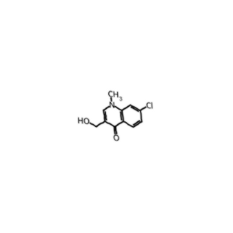 Cn1cc(CO)c(=O)c2ccc(Cl)cc21